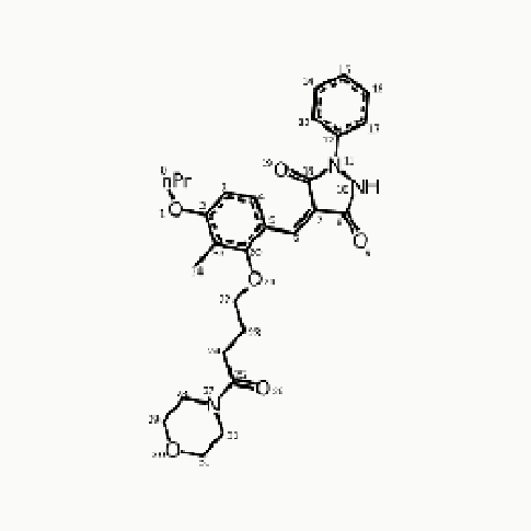 CCCOc1ccc(C=C2C(=O)NN(c3ccccc3)C2=O)c(OCCCC(=O)N2CCOCC2)c1C